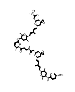 CCNC(=O)C[C@@H]1C[C@@]2(CO2)C[C@@H](/C=C/C(C)=C/C[C@@H]2O[C@H](C)[C@H](NC(=O)/C=C\[C@H](C)OC(=O)CCNC(=O)C[C@@H]3C[C@@]4(CO4)C[C@@H](/C=C/C(C)=C/C[C@@H]4O[C@H](C)[C@H](NC(=O)/C=C\[C@H](C)OC(C)=O)C[C@@H]4C)O3)C[C@@H]2C)O1